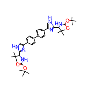 CC(C)(C)OC(=O)NC(c1nc(-c2ccc(-c3ccc(-c4c[nH]c(C(NC(=O)OC(C)(C)C)C(C)(C)C)n4)cc3)cc2)c[nH]1)C(C)(C)C